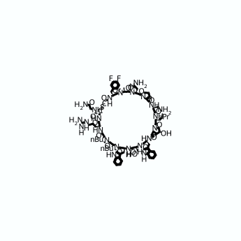 CCCC[C@H]1C(=O)N(C)[C@@H](CCCC)C(=O)N[C@@H](CCCNC(=N)N)C(=O)N[C@H](C(=O)NCC(N)=O)CSCC(=O)N[C@@H](Cc2ccc(F)c(F)c2)C(=O)N(C)[C@@H](C)C(=O)N[C@@H](CC(N)=O)C(=O)N2CCC[C@H]2C(=O)N[C@@H](CN)C(=O)N[C@@H](CC(C)C)C(=O)N2C[C@H](O)C[C@H]2C(=O)N[C@@H](Cc2c[nH]c3ccccc23)C(=O)N[C@@H](CO)C(=O)N[C@@H](Cc2c[nH]c3ccccc23)C(=O)N1C